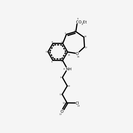 CCOC(=O)C1=Cc2cccc(NCCCC(=O)Cl)c2OCC1